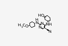 CO[C@H]1CC[C@H](Nc2ncc(C#N)c(N[C@H]3CCC[C@H](O)C3)n2)CC1